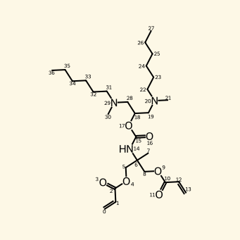 C=CC(=O)OCC(C)(COC(=O)C=C)NC(=O)OC(CN(C)CCCCCC)CN(C)CCCCCC